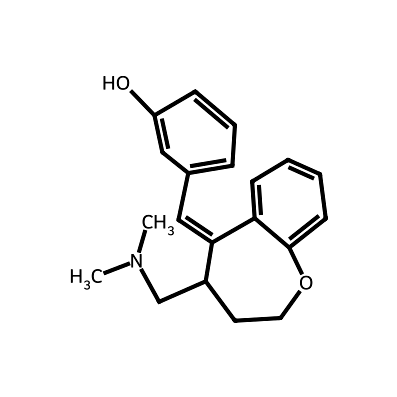 CN(C)CC1CCOc2ccccc2C1=Cc1cccc(O)c1